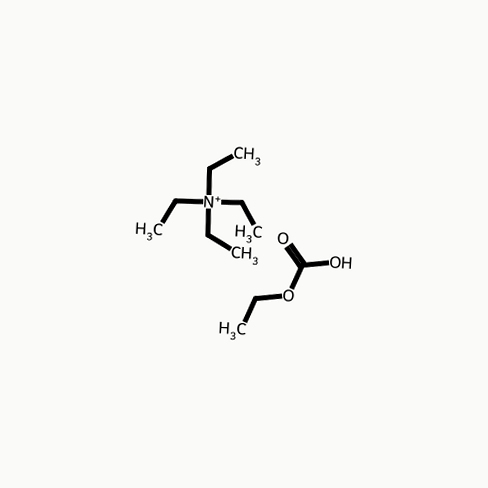 CCOC(=O)O.CC[N+](CC)(CC)CC